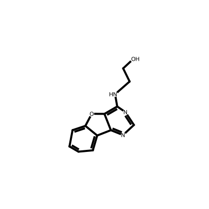 OCCNc1ncnc2c1oc1ccccc12